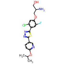 CC(C)Oc1ccc(-c2nnc(-c3cc(F)c(OCC(N)CO)cc3Cl)s2)cn1